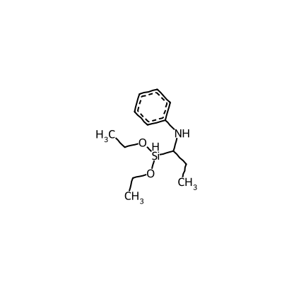 CCO[SiH](OCC)C(CC)Nc1ccccc1